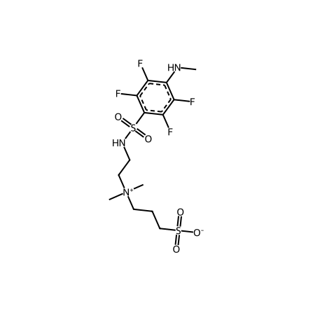 CNc1c(F)c(F)c(S(=O)(=O)NCC[N+](C)(C)CCCS(=O)(=O)[O-])c(F)c1F